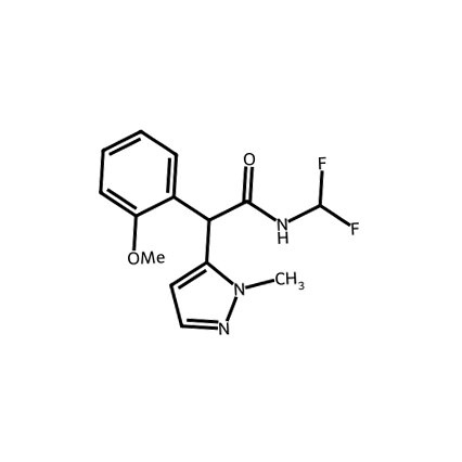 COc1ccccc1C(C(=O)NC(F)F)c1ccnn1C